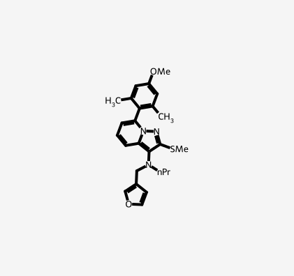 CCCN(Cc1ccoc1)c1c(SC)nn2c(-c3c(C)cc(OC)cc3C)cccc12